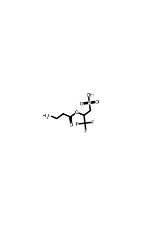 CCCC(=O)OC(CS(=O)(=O)O)C(F)(F)F